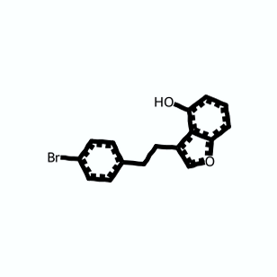 Oc1cccc2occ(CCc3ccc(Br)cc3)c12